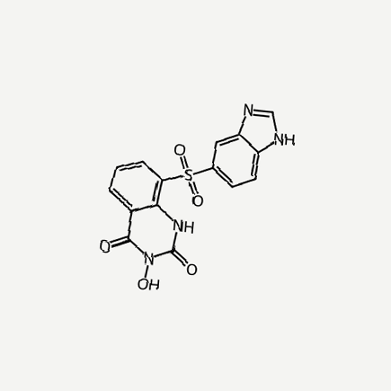 O=c1[nH]c2c(S(=O)(=O)c3ccc4[nH]cnc4c3)cccc2c(=O)n1O